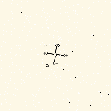 [OH][Ti]([OH])([OH])[OH].[Zn].[Zr]